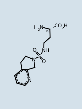 N[C@@H](CCNS(=O)(=O)N1CCc2cccnc2C1)C(=O)O